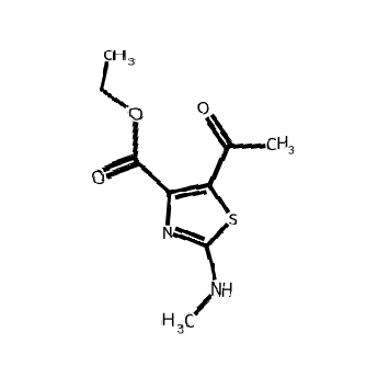 CCOC(=O)c1nc(NC)sc1C(C)=O